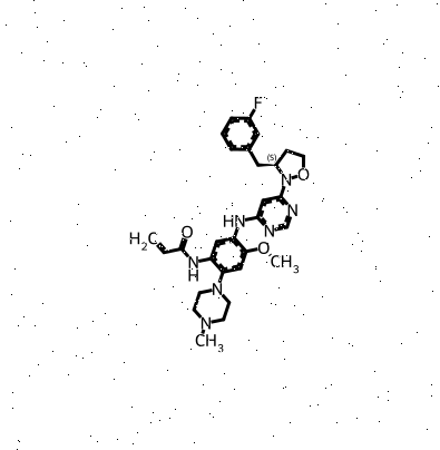 C=CC(=O)Nc1cc(Nc2cc(N3OCC[C@@H]3Cc3cccc(F)c3)ncn2)c(OC)cc1N1CCN(C)CC1